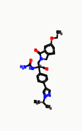 CCOc1ccc2c(c1)C(=O)N(C[C@](C=O)(NC(N)=O)c1ccc(-c3cnn(C(C)C)c3)cc1)C2